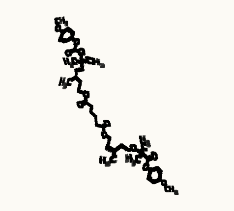 COc1ccc(OC(=O)OC(C)(C)CCC(C)CCOC(=O)CCCCC(=O)OCCC(C)CCOC(C)(C)C(=O)Oc2ccc(OC)cc2)cc1